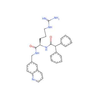 N=C(N)NCCC[C@@H](NC(=O)C(c1ccccc1)c1ccccc1)C(=O)NCc1ccc2ncccc2c1